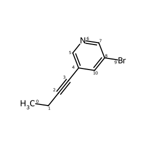 CCC#Cc1cncc(Br)c1